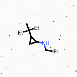 CCC(C)(CC)C1CC1NCC(C)C